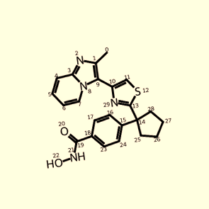 Cc1nc2ccccn2c1-c1csc(C2(c3ccc(C(=O)NO)cc3)CCCC2)n1